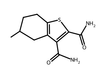 CC1CCc2sc(C(N)=O)c(C(N)=O)c2C1